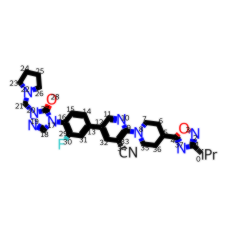 CC(C)c1noc(C2CCN(c3ncc(-c4ccc(-n5cnn(CN6CCCC6)c5=O)c(F)c4)cc3C#N)CC2)n1